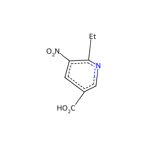 CCc1ncc(C(=O)O)cc1[N+](=O)[O-]